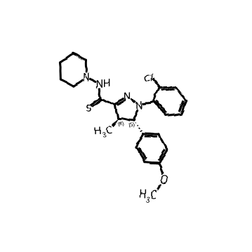 COc1ccc([C@@H]2[C@@H](C)C(C(=S)NN3CCCCC3)=NN2c2ccccc2Cl)cc1